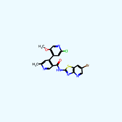 COc1cnc(Cl)cc1-c1cc(C)ncc1C(=O)Nc1nc2ncc(Br)cc2s1